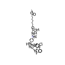 C=N/C(=C\NCC(O)COCCCCCCCC(=O)OCC)C1=CCC(NC2=NC=C3CN=C(c4c(F)cccc4F)c4cc(Cl)ccc4C3N2)C=C1